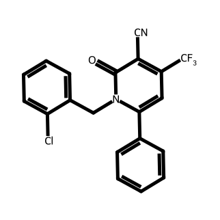 N#Cc1c(C(F)(F)F)cc(-c2ccccc2)n(Cc2ccccc2Cl)c1=O